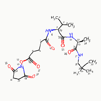 CC(C)[C@H](NC(=O)CCCC(=O)ON1C(=O)CCC1=O)C(=O)N[C@@H](C)C(=O)NCC(C)(C)C